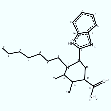 CCCCCCCN1C(c2nc3ccccc3[nH]2)CC(C(N)=O)C(C)C1C